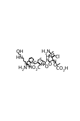 C[C@H](O/N=C(\C(=O)N[C@@H]1C(=O)N2C(C(=O)O)=C(C[n+]3cccc4c3nc(N)n4CCNCCO)CSC12)c1nc(N)sc1Cl)C(=O)O